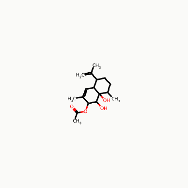 C=C(C)C1CCC(C)C2(O)C(O)C(OC(C)=O)C(C)=CC12